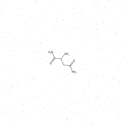 NC(=O)CC([SiH3])C(N)=O